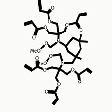 C=CC(=O)OCC(COC(=O)C=C)(COC(=O)C=C)N(COOC)CC1(C)CC(N(COOC)C(COC(=O)C=C)(COC(=O)C=C)COC(=O)C=C)CC(C)(C)C1